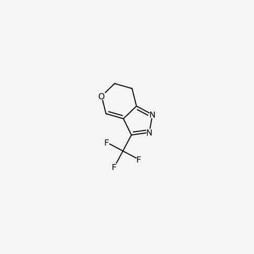 FC(F)(F)C1=NN=C2CCOC=C21